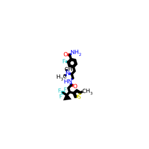 Cc1cc(C(CC(=O)NCC(Cc2ccc(C(N)=O)c(F)c2)N(C)C)C2(C(F)(F)F)CC2)cs1